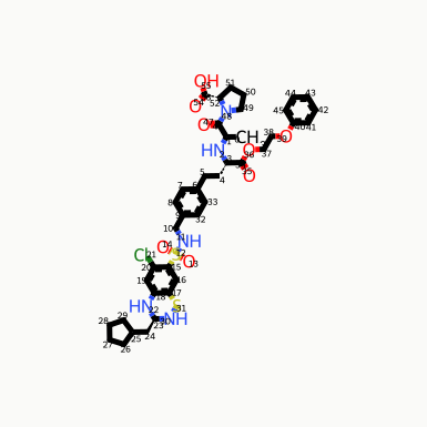 CC(N[C@@H](CCc1ccc(CNS(=O)(=O)c2cc3c(cc2Cl)N[C@H](CC2CCCC2)NS3)cc1)C(=O)OCCOc1ccccc1)C(=O)N1CCC[C@H]1C(=O)O